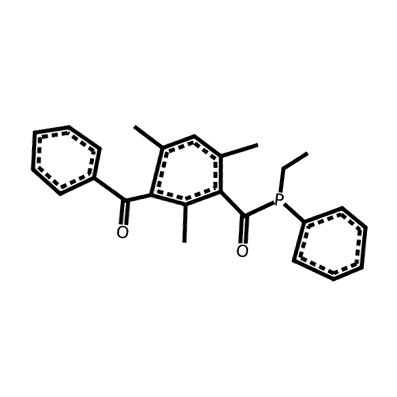 CCP(C(=O)c1c(C)cc(C)c(C(=O)c2ccccc2)c1C)c1ccccc1